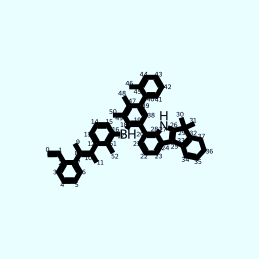 C=Cc1ccccc1/C(C)=C(\C)c1cccc(Bc2c(-c3cccc4c5c([nH]c34)C(C)(C)C3=C5C=CCC3)cc(-c3ccccc3C)c(C)c2C)c1C